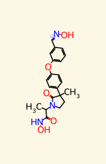 CC(C(=O)NO)N1CCC(C)(c2ccc(Oc3cccc(/C=N\O)c3)cc2)C1=O